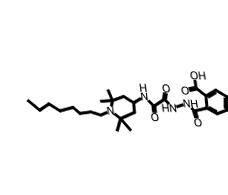 CCCCCCCCN1C(C)(C)CC(NC(=O)C(=O)NNC(=O)c2ccccc2C(=O)O)CC1(C)C